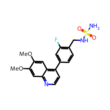 COc1cc2nccc(-c3ccc(CNS(N)(=O)=O)c(F)c3)c2cc1OC